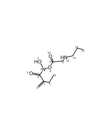 C=C(CC)C(=O)N(O)OC(=O)CNCCC